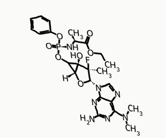 CCOC(=O)[C@H](C)N[P@@](=O)(Oc1ccccc1)OC1[C@H]2O[C@@H](n3cnc4c(N(C)C)nc(N)nc43)[C@](C)(F)[C@@]12O